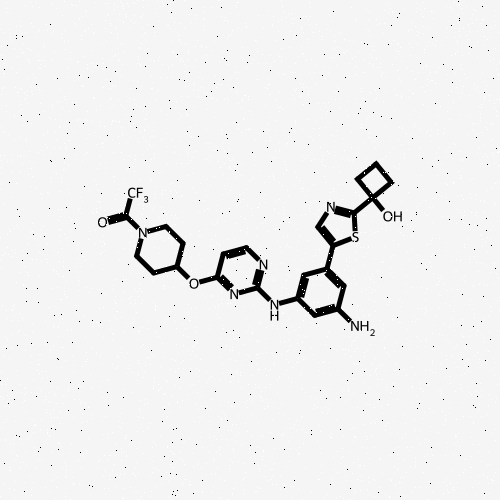 Nc1cc(Nc2nccc(OC3CCN(C(=O)C(F)(F)F)CC3)n2)cc(-c2cnc(C3(O)CCC3)s2)c1